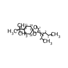 CCCN(CC)C1COC2(CCC(C(C)(C)C)CC2)O1